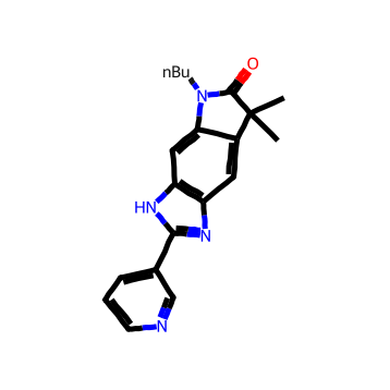 CCCCN1C(=O)C(C)(C)c2cc3nc(-c4cccnc4)[nH]c3cc21